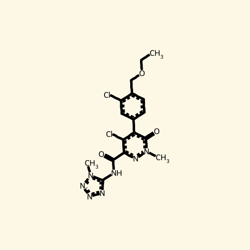 CCOCc1ccc(-c2c(Cl)c(C(=O)Nc3nnnn3C)nn(C)c2=O)cc1Cl